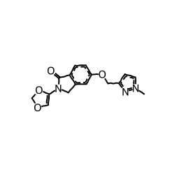 Cn1ccc(COc2ccc3c(c2)CN(C2=COCO2)C3=O)n1